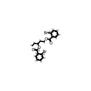 CCC(CCOC(=O)c1ccccc1Br)OC(=O)c1ccccc1Br